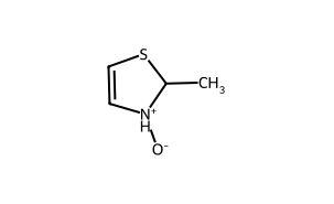 CC1SC=C[NH+]1[O-]